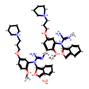 CN=C(N)N(c1cc(OCCCN2CCCCC2)ccc1OC)c1occ2ccccc12.CN=C(N)N(c1cc(OCCCN2CCCCC2)ccc1OC)c1occ2ccccc12.O